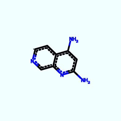 Nc1cc(N)c2c[c]ncc2n1